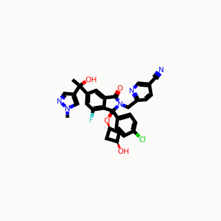 Cn1cc(C(C)(O)c2cc(F)c3c(c2)C(=O)N(Cc2ccc(C#N)cn2)C3(O[C@H]2C[C@@H](O)C2)c2ccc(Cl)cc2)cn1